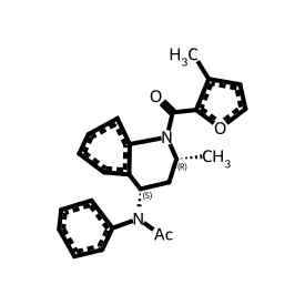 CC(=O)N(c1ccccc1)[C@H]1C[C@@H](C)N(C(=O)c2occc2C)c2ccccc21